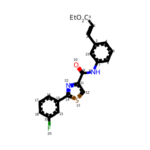 CCOC(=O)C=Cc1cccc(NC(=O)c2csc(-c3cccc(F)c3)n2)c1